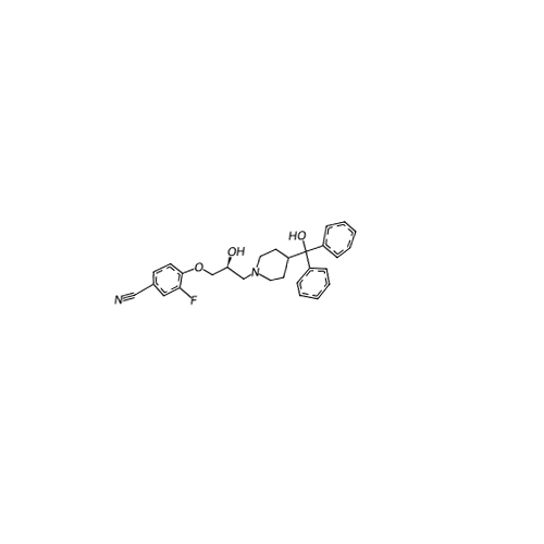 N#Cc1ccc(OC[C@@H](O)CN2CCC(C(O)(c3ccccc3)c3ccccc3)CC2)c(F)c1